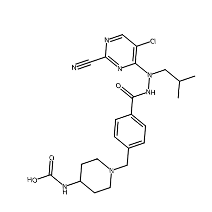 CC(C)CN(NC(=O)c1ccc(CN2CCC(NC(=O)O)CC2)cc1)c1nc(C#N)ncc1Cl